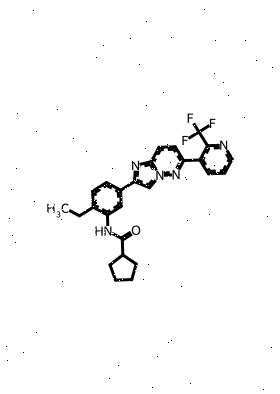 CCc1ccc(-c2cn3nc(-c4cccnc4C(F)(F)F)ccc3n2)cc1NC(=O)C1CCCC1